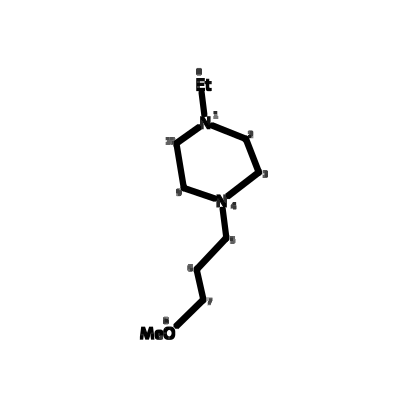 [CH2]CN1CCN(CCCOC)CC1